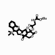 CCC1(OC(=O)CNC(=O)OC(C)(C)C)C(=O)OCc2c1cc1n(c2=O)Cc2c-1nc1ccccc1c2[Si](C)(C)C